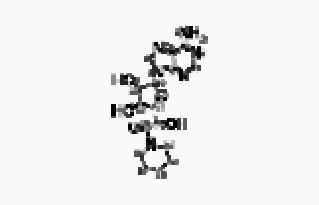 Nc1ncnc2c1ncn2[C@@H]1O[C@H](C(O)C(=O)N2CCCCC2)[C@@H](O)[C@H]1O